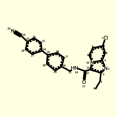 CCc1nc2cc(Cl)ccn2c1C(=O)NCc1ccc(-c2ccc(C#N)cc2)cc1